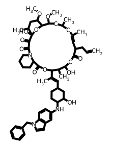 C=CCC1/C=C(\C)CC(C)CC(OC)C2OC(O)(C(=O)C(=O)N3CCCCC3C(=O)OC(C(C)=CC3CCC(Nc4ccc5c(ccn5Cc5ccccc5)c4)C(O)C3)C(C)C(O)CC1=O)C(C)CC2OC